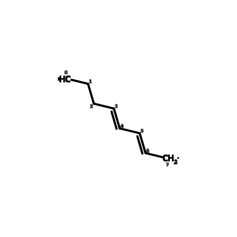 [CH]CCC=CC=C[CH2]